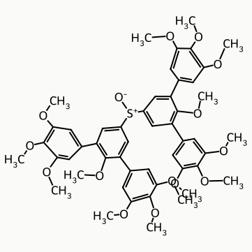 COc1cc(-c2cc([S+]([O-])c3cc(-c4cc(OC)c(OC)c(OC)c4)c(OC)c(-c4cc(OC)c(OC)c(OC)c4)c3)cc(-c3cc(OC)c(OC)c(OC)c3)c2OC)cc(OC)c1OC